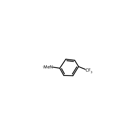 C[N]c1ccc(C(F)(F)F)cc1